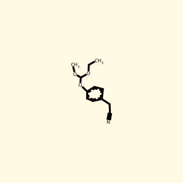 CCOC(OC)Oc1ccc(CC#N)cc1